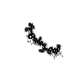 CC1(C)c2ccc(-c3ccc(-c4cc(-c5cccc(-c6ccc(-c7cc8c(c9ccccc79)-c7cc(-c9ccc(-c%10cc(-c%11cccc%12ncccc%11%12)nc(-c%11ccccc%11)n%10)c%10ccccc9%10)ccc7C8(C)C)nc6)c5)nc(-c5ccccc5)n4)c4ccccc34)cc2-c2c1ccc1ccccc21